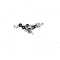 Cc1ccn(-c2cc(-c3cccc(C(F)(F)F)c3)ccc2[C@@H](Oc2cc(N3CCC4(CC3)CN[C@H](C(=O)O)C4)nc(N)n2)C(F)(F)F)n1